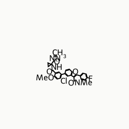 CNC(=O)c1c(-c2ccc(F)cc2)oc2ccc(-c3cc(C(=O)NC4(c5nc(C)no5)CC4)c(OC)cc3Cl)cc12